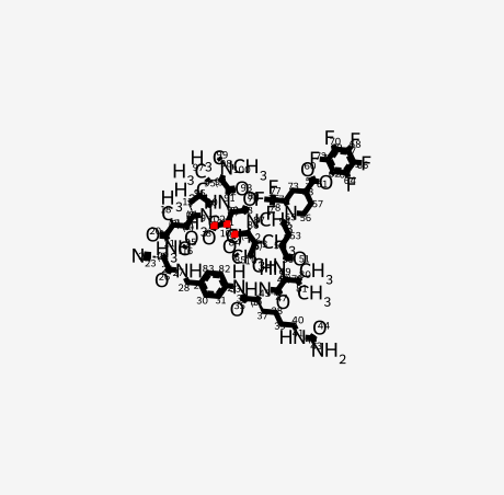 CC[C@H](C)[C@@H]([C@@H](CC(=O)N1CCC[C@H]1[C@H](OC)[C@@H](C)C(=O)N[C@@H](C#N)C(=O)NCc1ccc(NC(=O)[C@H](CCCCNC(N)=O)NC(=O)[C@@H](NC(=O)CCCN2CCC(C(=O)Oc3c(F)c(F)c(F)c(F)c3F)CC2C(F)(F)F)C(C)C)cc1)OC)N(C)C(=O)[C@@H](NC(=O)[C@H](C(C)C)N(C)C)C(C)C